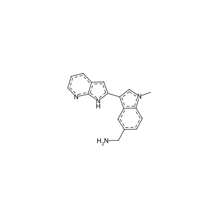 Cn1cc(-c2cc3cccnc3[nH]2)c2cc(CN)ccc21